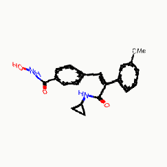 COc1cccc(C(=Cc2ccc(C(=O)NO)cc2)C(=O)NC2CC2)c1